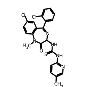 Cc1ccc(NC(=S)NC2N=C(c3ccccc3Cl)c3cc(Cl)ccc3N(C)C2=O)nc1